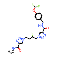 CNC(=O)c1cn(CCC(F)Cn2cc(C(=O)NCc3ccc(OC(F)F)cc3)nn2)nn1